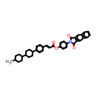 CC1CCC(C2CCC(c3ccc(/C=C/C(=O)Oc4ccc(N5C(=O)C6C7CC(C6C5=O)C5C6C=CC(C6)C75)cc4)cc3)CC2)CC1